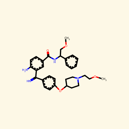 COCCN1CCC(Oc2ccc(C(=N)c3cc(C(=O)NC(COC)c4ccccc4)ccc3N)cc2)CC1